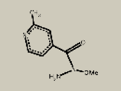 CON(N)C(=O)c1ccnc(C)c1